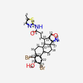 Cc1cnc(NC(=O)CCC2c3conc3C3(C)CCC4c5cc(Br)c(O)c(Br)c5CCC4C23)s1